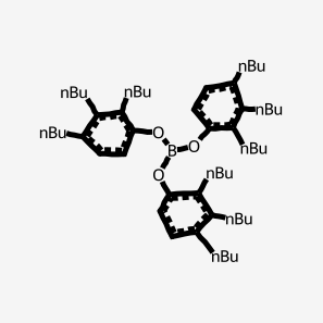 CCCCc1ccc(OB(Oc2ccc(CCCC)c(CCCC)c2CCCC)Oc2ccc(CCCC)c(CCCC)c2CCCC)c(CCCC)c1CCCC